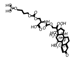 C[C@]12C=CC(=O)C=C1CC[C@H]1[C@@H]3C[C@@H](O)[C@](O)(C(=O)COC(=O)NC(COC(=O)OCCCCON(O)O)C(=O)O)[C@@]3(C)C[C@H](O)[C@@]12F